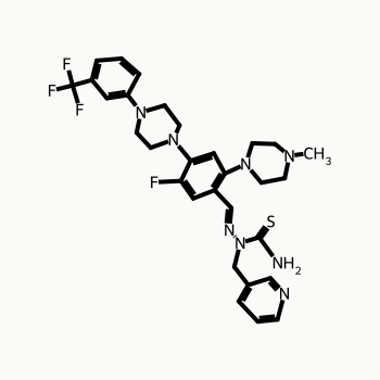 CN1CCN(c2cc(N3CCN(c4cccc(C(F)(F)F)c4)CC3)c(F)cc2C=NN(Cc2cccnc2)C(N)=S)CC1